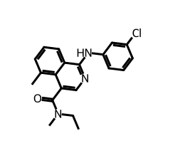 CCN(C)C(=O)c1cnc(Nc2cccc(Cl)c2)c2cccc(C)c12